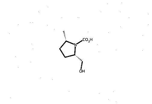 C[C@H]1CC[C@@H](CO)N1C(=O)O